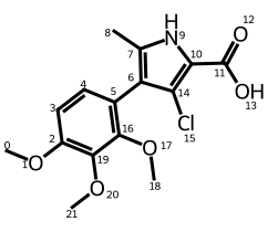 COc1ccc(-c2c(C)[nH]c(C(=O)O)c2Cl)c(OC)c1OC